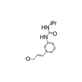 CC(C)NC(=O)Nc1cccc(C=CC[O])c1